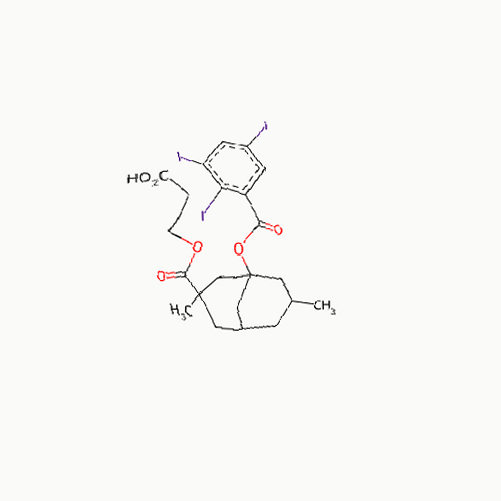 CC1CC2CC(OC(=O)c3cc(I)cc(I)c3I)(C1)CC(C)(C(=O)OCCC(=O)O)C2